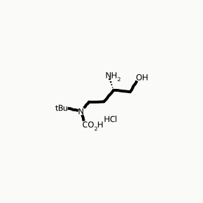 CC(C)(C)N(CC[C@H](N)CO)C(=O)O.Cl